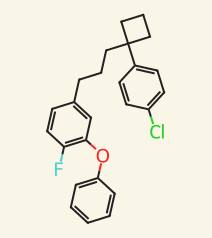 Fc1ccc(CCCC2(c3ccc(Cl)cc3)CCC2)cc1Oc1ccccc1